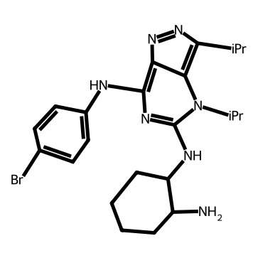 CC(C)c1nnc2c(Nc3ccc(Br)cc3)nc(NC3CCCCC3N)n(C(C)C)c1-2